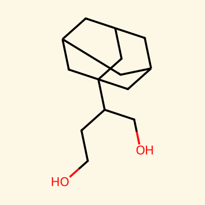 OCCC(CO)C12CC3CC(CC(C3)C1)C2